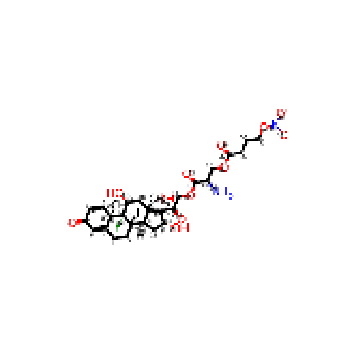 C[C@]12C=CC(=O)C=C1CC[C@H]1[C@@H]3C[C@@H](O)[C@](O)(C(=O)COC(=O)C(N)COC(=O)CCCO[N+](=O)[O-])[C@@]3(C)C[C@H](O)[C@@]12F